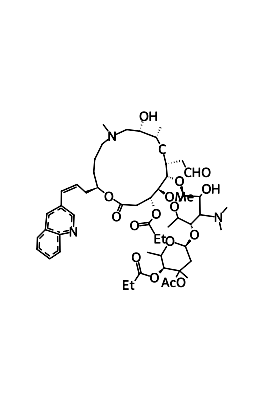 CCC(=O)O[C@@H]1CC(=O)O[C@@H](C/C=C\c2cnc3ccccc3c2)CCCN(C)C[C@H](O)[C@H](C)C[C@H](CC=O)[C@H](O[C@@H]2OC(C)[C@@H](O[C@H]3CC(C)(OC(C)=O)[C@@H](OC(=O)CC)C(C)O3)C(N(C)C)C2O)[C@H]1OC